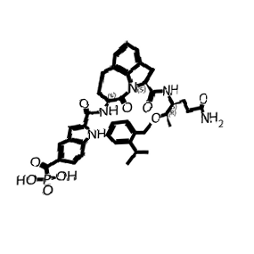 CC(C)c1ccccc1CO[C@H](C)[C@H](CCC(N)=O)NC(=O)[C@@H]1Cc2cccc3c2N1C(=O)[C@@H](NC(=O)c1cc2cc(C(=O)P(=O)(O)O)ccc2[nH]1)CC3